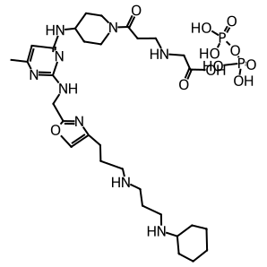 Cc1cc(NC2CCN(C(=O)CCNCC(=O)O)CC2)nc(NCc2nc(CCCNCCCNC3CCCCC3)co2)n1.O=P(O)(O)OP(=O)(O)O